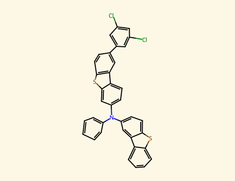 Clc1cc(Cl)cc(-c2ccc3sc4cc(N(c5ccccc5)c5ccc6sc7ccccc7c6c5)ccc4c3c2)c1